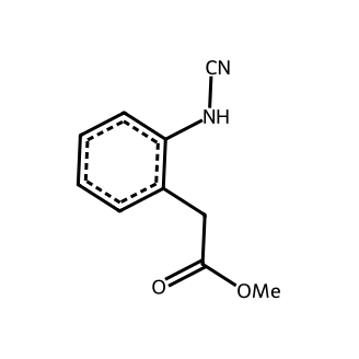 COC(=O)Cc1ccccc1NC#N